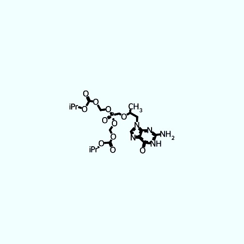 CC(C)OC(=O)OCOP(=O)(COC(C)Cn1cnc2c(=O)[nH]c(N)nc21)OCOC(=O)OC(C)C